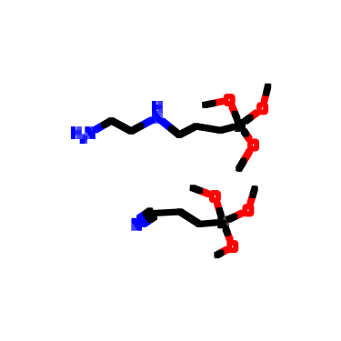 CO[Si](CCC#N)(OC)OC.CO[Si](CCCNCCN)(OC)OC